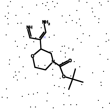 CC(C)(C)OC(=O)N1CCOC(/C(C=N)=C/N)C1